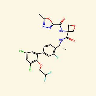 Cc1nnc(C(=O)NC2(C(=O)N[C@H](C)c3ccc(-c4cc(Cl)cc(Cl)c4OCC(F)F)cc3F)COC2)o1